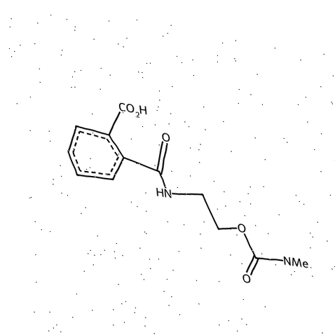 CNC(=O)OCCNC(=O)c1ccccc1C(=O)O